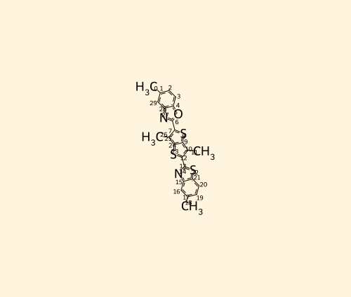 Cc1ccc2oc(-c3sc4c(C)c(-c5nc6cc(C)ccc6s5)sc4c3C)nc2c1